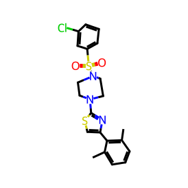 Cc1cccc(C)c1-c1csc(N2CCN(S(=O)(=O)c3cccc(Cl)c3)CC2)n1